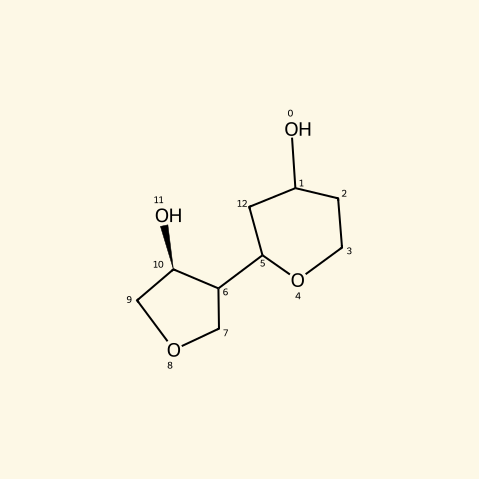 OC1CCOC(C2COC[C@H]2O)C1